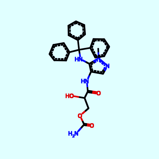 Cn1ncc(NC(=O)C(O)COC(N)=O)c1NC(c1ccccc1)(c1ccccc1)c1ccccc1